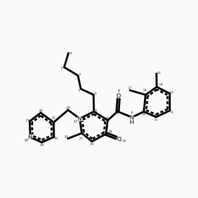 CCCCCc1c(C(=O)Nc2cccc(C)c2C)c(=O)cc(C)n1Cc1ccncc1